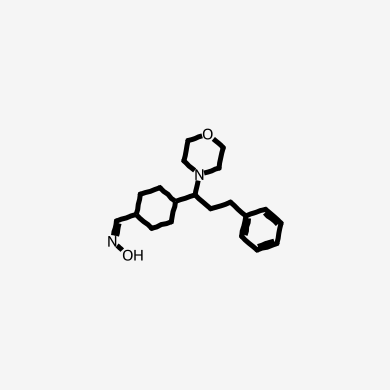 O/N=C\C1CCC(C(CCc2ccccc2)N2CCOCC2)CC1